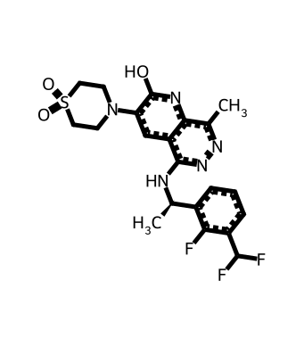 Cc1nnc(N[C@H](C)c2cccc(C(F)F)c2F)c2cc(N3CCS(=O)(=O)CC3)c(O)nc12